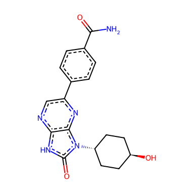 NC(=O)c1ccc(-c2cnc3[nH]c(=O)n([C@H]4CC[C@H](O)CC4)c3n2)cc1